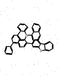 c1ccc(-c2ccc(-c3ccccc3N(c3ccccc3-c3ccc4c(c3)sc3ccccc34)c3cccc4ccccc34)cc2)cc1